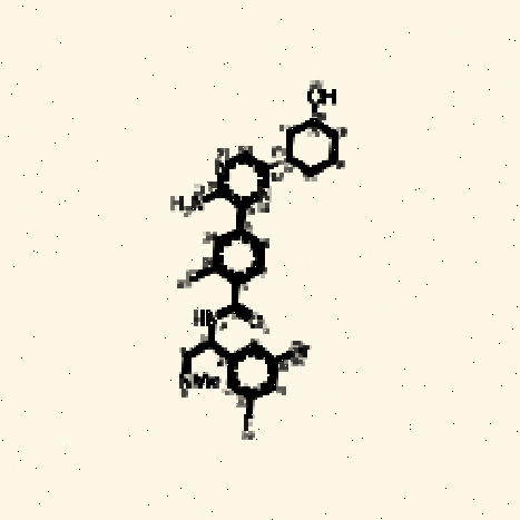 CNCC(NC(=O)c1ccc(-c2nc([C@H]3CCC[C@@H](O)C3)cnc2N)cc1F)c1cc(F)cc(Br)c1